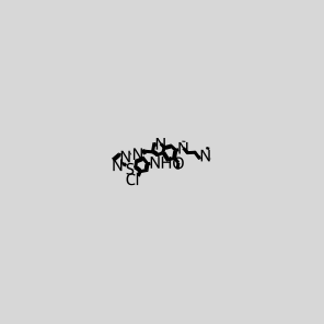 COc1cc2c(Nc3ccc(Sc4nccn4C)c(Cl)c3)c(C#N)cnc2cc1N(C)CCCN(C)C